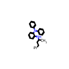 CC(C)CCC(C)Nc1ccccc1N(c1ccccc1)c1ccccc1